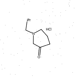 CC(C)CN1CCCC(=O)C1.Cl